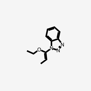 CC=C(OCC)n1nnc2ccccc21